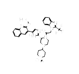 COc1nc2ccccc2cc1-c1cnc([C@@H]2CN(C3CCS(=O)(=O)CC3)CCN2C(=O)Cn2c(C(F)(F)F)nc3ccccc32)[nH]1